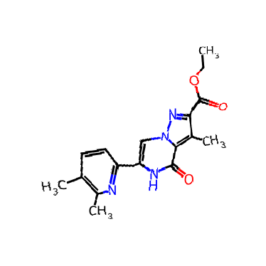 CCOC(=O)c1nn2cc(-c3ccc(C)c(C)n3)[nH]c(=O)c2c1C